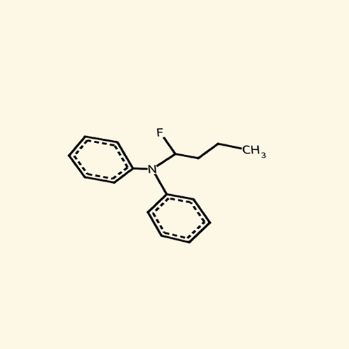 CCCC(F)N(c1ccccc1)c1ccccc1